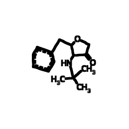 CC(C)(C)NC1C(=O)COC1Cc1ccccc1